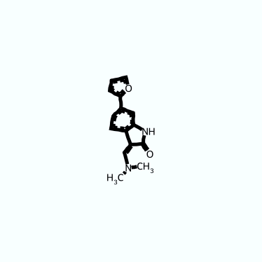 CN(C)C=C1C(=O)Nc2cc(-c3ccco3)ccc21